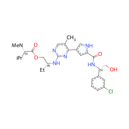 CC[C@H](COC(=O)[C@@H](NC)C(C)C)Nc1ncc(C)c(-c2c[nH]c(C(=O)N[C@H](CO)c3cccc(Cl)c3)c2)n1